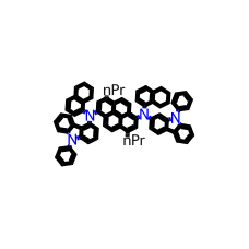 CCCc1cc(N(c2ccc3c4ccccc4n(-c4ccccc4)c3c2)c2cccc3c2CCCC3)c2ccc3c(CCC)cc(N(c4cccc5c4CCCC5)c4cccc5c4c4ccccc4n5-c4ccccc4)c4ccc1c2c34